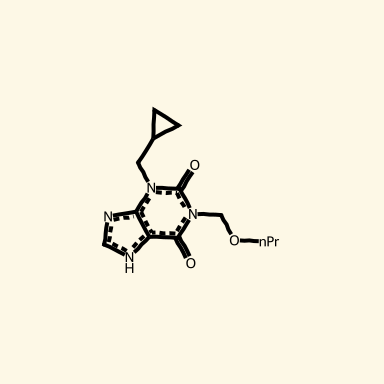 CCCOCn1c(=O)c2[nH]cnc2n(CC2CC2)c1=O